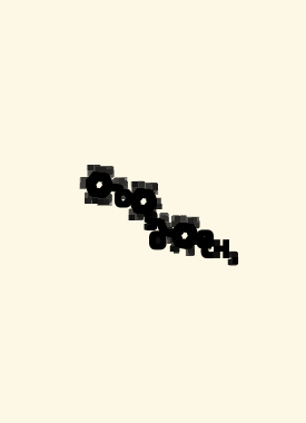 COc1ccc(C(=O)CSc2cccc(OCc3ccccc3)c2)cc1